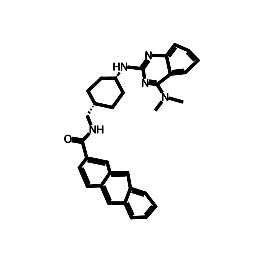 CN(C)c1nc(N[C@H]2CC[C@@H](CNC(=O)c3ccc4cc5ccccc5cc4c3)CC2)nc2ccccc12